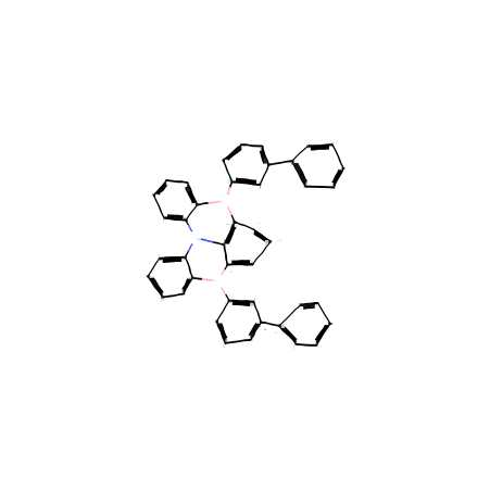 c1ccc(-c2cccc(B3c4ccccc4N4c5ccccc5B(c5cccc(-c6ccccc6)c5)c5cccc3c54)c2)cc1